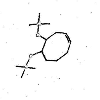 C[Si](C)(C)OC1CC=CCCCC1O[Si](C)(C)C